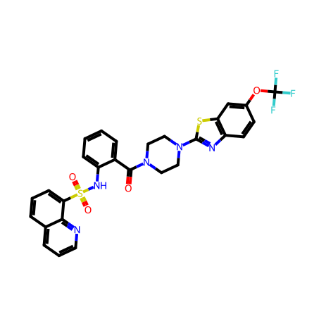 O=C(c1ccccc1NS(=O)(=O)c1cccc2cccnc12)N1CCN(c2nc3ccc(OC(F)(F)F)cc3s2)CC1